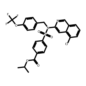 CC(C)OC(=O)c1ccc(S(=O)(=O)N(Cc2ccc(OC(F)(F)F)cc2)c2cc3c(Cl)cccc3cn2)cc1